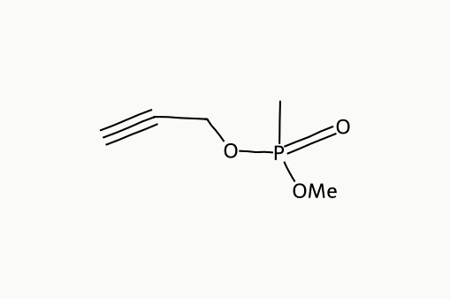 C#CCOP(C)(=O)OC